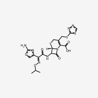 CC(C)ON=C(C(=O)NC1C(=O)N2C(C(=O)O)=C(CSc3nncs3)CS[C@@H]12)c1csc(N)n1